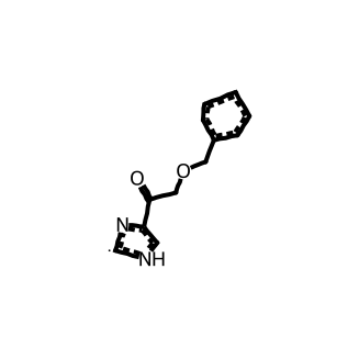 O=C(COCc1ccccc1)c1c[nH][c]n1